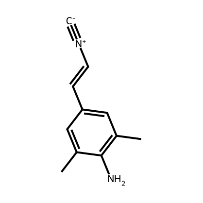 [C-]#[N+]/C=C/c1cc(C)c(N)c(C)c1